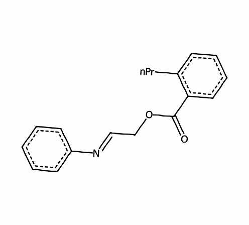 CCCc1ccccc1C(=O)OCC=Nc1ccccc1